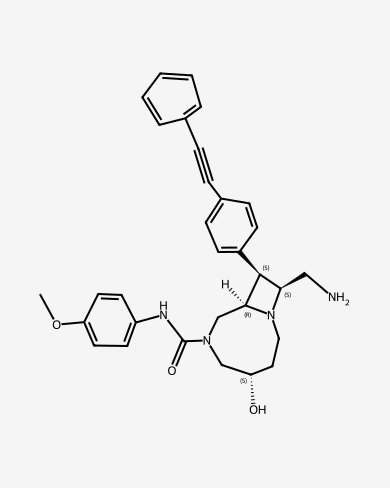 COc1ccc(NC(=O)N2C[C@@H](O)CCN3[C@H](CN)[C@H](c4ccc(C#Cc5ccccc5)cc4)[C@@H]3C2)cc1